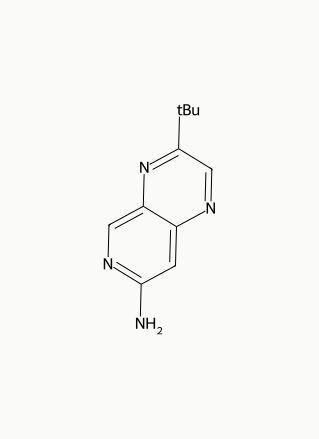 CC(C)(C)c1cnc2cc(N)ncc2n1